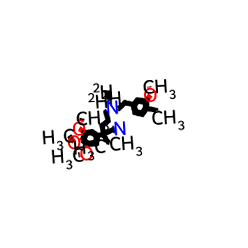 [2H]C([2H])([2H])N(CCCC(C#N)(c1cc(OC)c(OC)c(OC)c1)C(C)C)CCc1ccc(CC)c(OC)c1